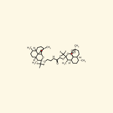 C[C@@H]1CC[C@H]2[C@@H](C)[C@](OCC(=O)NCCO[C@@]3(C(F)(F)F)O[C@@H]4O[C@]5(C)CC[C@H]6[C@H](C)CC[C@@H]([C@H]3C)[C@@]46OO5)(C(F)(F)F)O[C@@H]3O[C@]4(C)CC[C@@H]1C32OO4